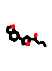 CCCC(=O)c1cc(-c2ccc3ccoc3c2)co1